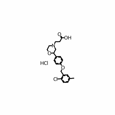 Cc1ccc(Cl)c(COc2ccc(C3CN(CCC(=O)O)CCO3)cc2)c1.Cl